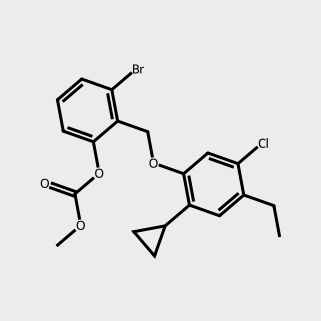 CCc1cc(C2CC2)c(OCc2c(Br)cccc2OC(=O)OC)cc1Cl